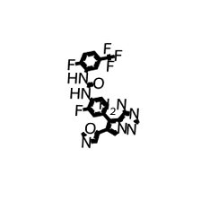 Nc1ncnn2cc(-c3cnco3)c(-c3ccc(NC(=O)Nc4cc(C(F)(F)F)ccc4F)c(F)c3)c12